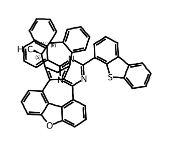 C[C@@H]1C2=C(c3cccc4oc5cccc(-c6nc(-c7ccccc7)nc(-c7cccc8c7sc7ccccc78)n6)c5c34)C=C(C2)c2ccccc2[C@]12C=CC=CC2